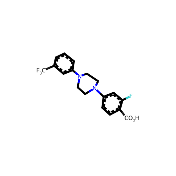 O=C(O)c1ccc(N2CCN(c3cccc(C(F)(F)F)c3)CC2)cc1F